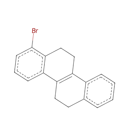 Brc1cccc2c1CCC1=C2CCc2ccccc21